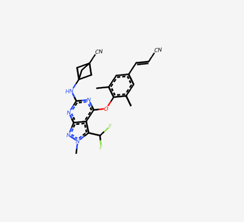 Cc1cc(/C=C/C#N)cc(C)c1Oc1nc(NC23CC(C#N)(C2)C3)nc2nn(C)c(C(F)F)c12